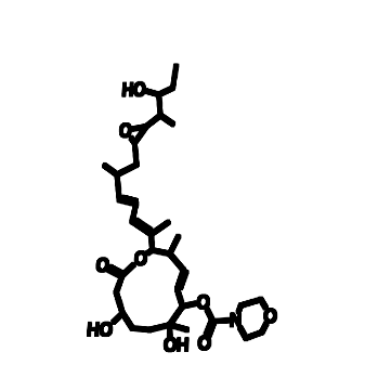 CCC(O)C(C)C1OC1CC(C)/C=C/C=C(\C)C1OC(=O)CC(O)CCC(C)(O)C(OC(=O)N2CCOCC2)/C=C/C1C